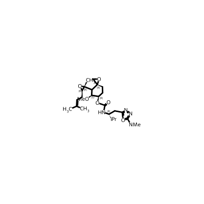 CNc1nnc(C[C@@H](NC(=O)O[C@@H]2CC[C@]3(CO3)C([C@@]3(C)O[C@@H]3CC=C(C)C)[C@@H]2OC)C(C)C)o1